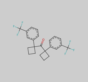 O=C(C1(c2cccc(C(F)(F)F)c2)CCC1)C1(c2cccc(C(F)(F)F)c2)CCC1